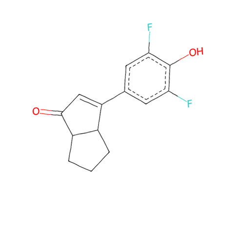 O=C1C=C(c2cc(F)c(O)c(F)c2)C2CCCC12